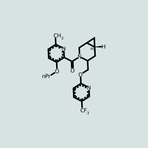 CCCOc1ccc(C)nc1C(=O)N1CC2C[C@@H]2CC1COc1ccc(C(F)(F)F)cn1